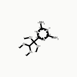 COC(OC)C(OC)(OC)c1nc(N)nc(N)n1